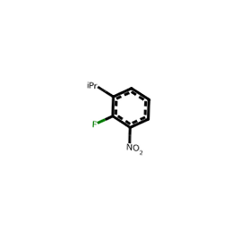 [CH2]C(C)c1cccc([N+](=O)[O-])c1F